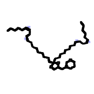 CCCCC/C=C\C/C=C\CCCCCCCCC1(CCCCCCCC/C=C\C/C=C\CCCCC)OCC(CN2CCCOC2)O1